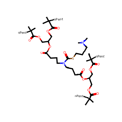 CCCCCC(C)(C)C(=O)OCC(COC(=O)C(C)(C)CCCCC)OC(=O)CCCN(CCCC(=O)OC(COC(=O)C(C)(C)CCCCC)COC(=O)C(C)(C)CCCCC)C(=O)SCCCN(C)C